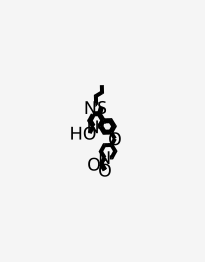 CCCc1nc2c[n+](O)c3cc(OC4CCN(C(=O)[O-])CC4)ccc3c2s1